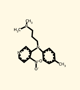 Cc1ccc(N(CCCN(C)C)c2cnccc2[N+](=O)[O-])cc1